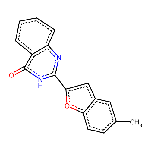 Cc1ccc2oc(-c3nc4ccccc4c(=O)[nH]3)cc2c1